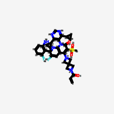 C=CC(=O)N1CC2(C1)CN(c1c(S(C)(=O)=O)c(=O)n(-c3c(C4CC4)ncnc3C3CC3)c3nc(-c4c(N)cccc4F)c(F)cc13)C2